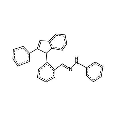 C1=C(c2ccccc2)C(c2ccccc2/C=N/Nc2ccccc2)c2ccccc21